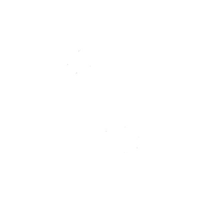 C(CCCOC1CCCCO1)CCOC1CCCCC1